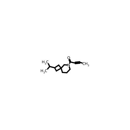 CC#CC(=O)N1CCCC2(CC(C(C)C)C2)C1